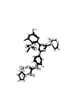 CC1CC(F)=CC(c2cc(-c3ccc(NC(=O)N[C@H]4CCC[C@@H]4O)cc3)nc(N3CCOC[C@@H]3C)n2)=C1S(C)(=O)=O